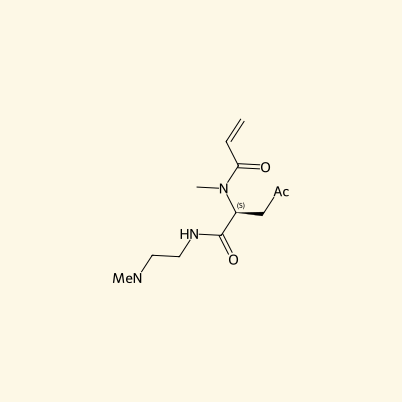 C=CC(=O)N(C)[C@@H](CC(C)=O)C(=O)NCCNC